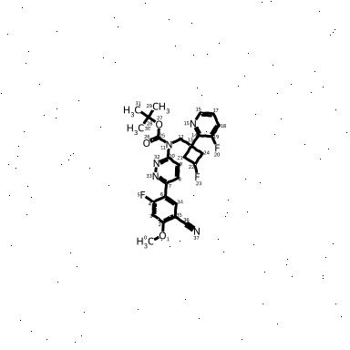 COc1cc(F)c(-c2ccc(N(CC3(c4ncccc4F)CC(F)C3)C(=O)OC(C)(C)C)nn2)cc1C#N